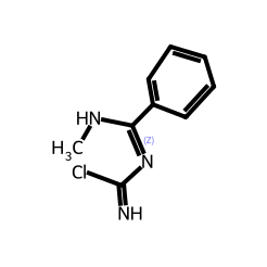 CN/C(=N\C(=N)Cl)c1ccccc1